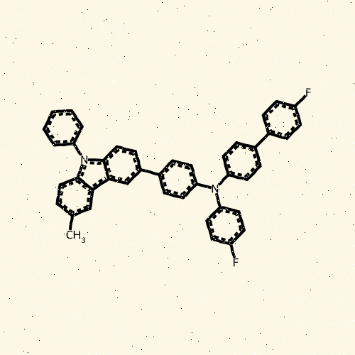 Cc1ccc2c(c1)c1cc(-c3ccc(N(c4ccc(F)cc4)c4ccc(-c5ccc(F)cc5)cc4)cc3)ccc1n2-c1ccccc1